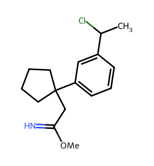 COC(=N)CC1(c2cccc(C(C)Cl)c2)CCCC1